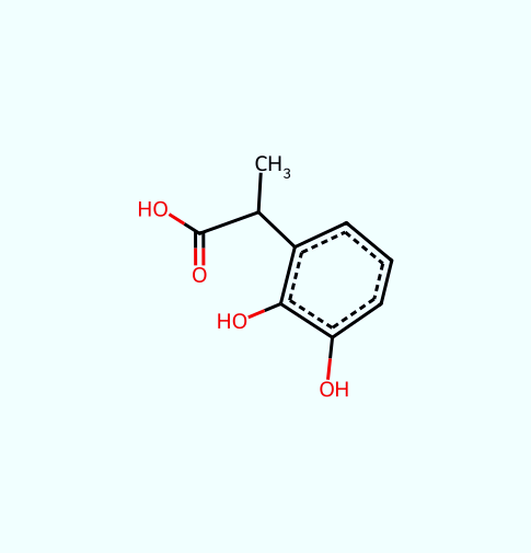 CC(C(=O)O)c1cccc(O)c1O